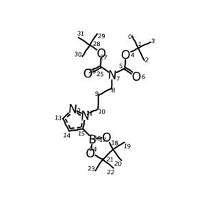 CC(C)(C)OC(=O)N(CCCn1nccc1B1OC(C)(C)C(C)(C)O1)C(=O)OC(C)(C)C